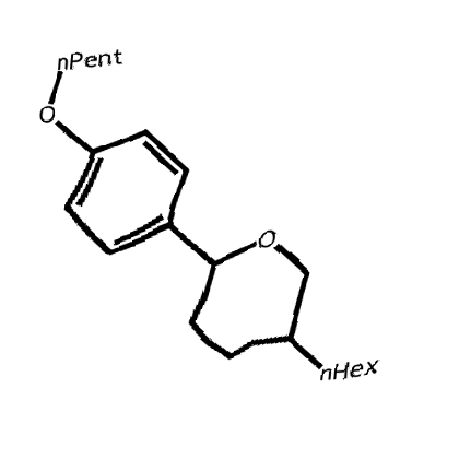 CCCCCCC1CCC(c2ccc(OCCCCC)cc2)OC1